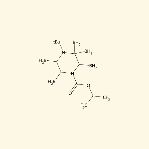 BC1C(B)N(C(C)(C)C)C(B)(B)C(B)N1C(=O)OC(C(F)(F)F)C(F)(F)F